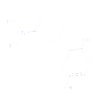 Cc1cc([S+]([O-])CC(=O)N(C)C)c(C)cc1F